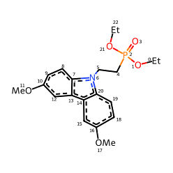 CCOP(=O)(CCn1c2ccc(OC)cc2c2cc(OC)ccc21)OCC